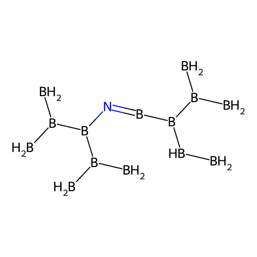 BBB(/B=N/B(B(B)B)B(B)B)B(B)B